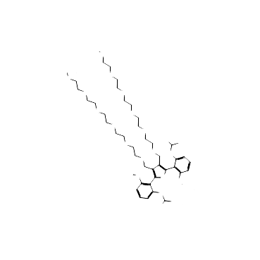 COCCOCCOCCOCCOCCOCc1c(-c2c(OC)cccc2OC(C)C)sc(-c2c(OC)cccc2OC(C)C)c1COCCOCCOCCOCCOCCOC